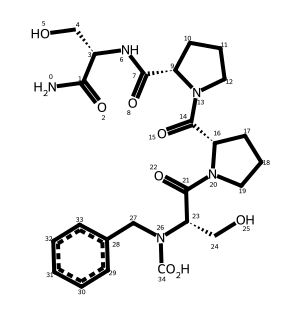 NC(=O)[C@H](CO)NC(=O)[C@@H]1CCCN1C(=O)[C@@H]1CCCN1C(=O)[C@H](CO)N(Cc1ccccc1)C(=O)O